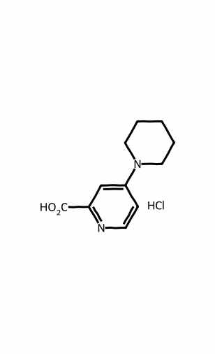 Cl.O=C(O)c1cc(N2CCCCC2)ccn1